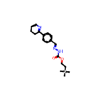 C[Si](C)(C)CCOC(=O)N/N=C/c1ccc(C2=NC=CCC2)cc1